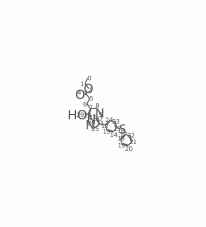 CCOC(=O)CCc1cnc2c(-c3ccc(Sc4ccccc4)cc3)cnn2c1O